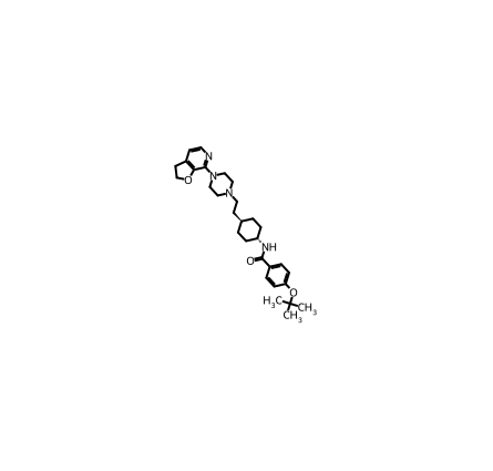 CC(C)(C)Oc1ccc(C(=O)N[C@H]2CC[C@H](CCN3CCN(c4nccc5c4OCC5)CC3)CC2)cc1